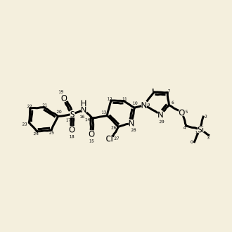 C[Si](C)(C)COc1ccn(-c2ccc(C(=O)NS(=O)(=O)c3ccccc3)c(Cl)n2)n1